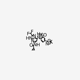 CC1(C)CN=C(c2ccc(Nc3cc(NC(=O)C4CC4)nc4[nH]c(C(F)F)nc34)c(S(C)(=O)=O)c2)O1